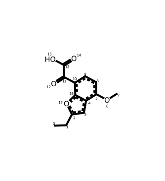 CCc1cc2c(OC)ccc(C(=O)C(=O)O)c2o1